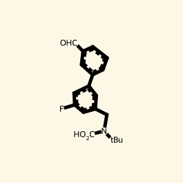 CC(C)(C)N(Cc1cc(F)cc(-c2cccc(C=O)c2)c1)C(=O)O